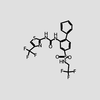 O=C(Nc1nc(C(F)(F)F)cs1)Nc1cc(S(=O)(=O)NCC(F)(F)F)ccc1-c1ccccc1